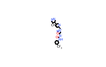 Cc1cnncc1-c1ccc(C[n+]2cc([N-]C(=O)Nc3cccc(C(F)(F)F)c3)on2)nc1